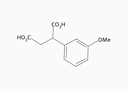 COc1cccc(C(CC(=O)O)C(=O)O)c1